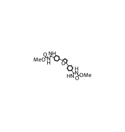 COC(=O)NC(=N)c1ccc(-c2ccc(-c3ccc(C(=N)NC(=O)OC)cc3)o2)cc1